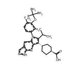 BC(B)(B)Oc1cc(-n2c(C(C)C)c([C@H]3CC[C@H](C(=O)O)CC3)c3nc4[nH]ncc4cc32)ccc1F